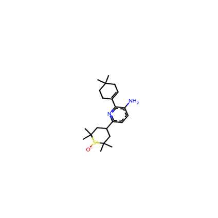 CC1(C)CC=C(c2nc(C3CC(C)(C)[S+]([O-])C(C)(C)C3)ccc2N)CC1